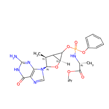 CC(C)OC(=O)[C@@H](C)NP(=O)(Oc1ccccc1)OC1C2[C@@H]1O[C@@H](n1cnc3c(=O)[nH]c(N)nc31)[C@H]2C